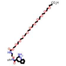 CCCN(OCCNC(=O)OCCOCCOCCOCCOCCOCCOCCOCCOCCOCCOCCC(=O)O)C(=O)C1=Cc2ccccc2N=C(N)C1